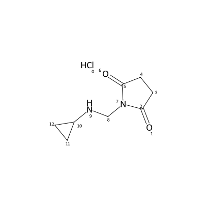 Cl.O=C1CCC(=O)N1CNC1CC1